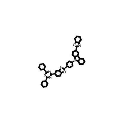 c1ccc(-c2nc(-c3ccccc3)nc(-c3ccc4oc(-c5ccc(-n6c7ccccc7c7cc(-c8nc9ccccc9o8)ccc76)cc5)nc4c3)n2)cc1